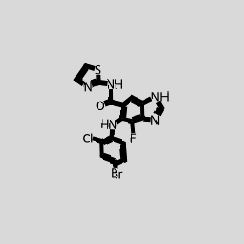 O=C(Nc1nccs1)c1cc2[nH]cnc2c(F)c1Nc1ccc(Br)cc1Cl